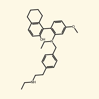 CCNCCc1ccc(CN(CC)c2cc(OC)ccc2-c2c(O)ccc3c2CCCC3)cc1